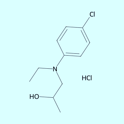 CCN(CC(C)O)c1ccc(Cl)cc1.Cl